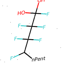 CCCCCC(F)C(F)(F)C(F)(F)C(O)(O)F